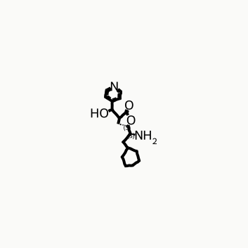 N[C@@H](CC1CCCCC1)[C@@H]1CC(C(O)c2ccncc2)C(=O)O1